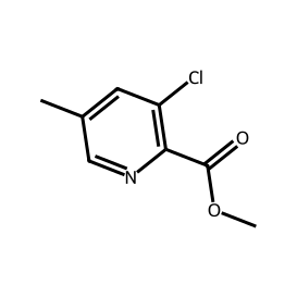 COC(=O)c1ncc(C)cc1Cl